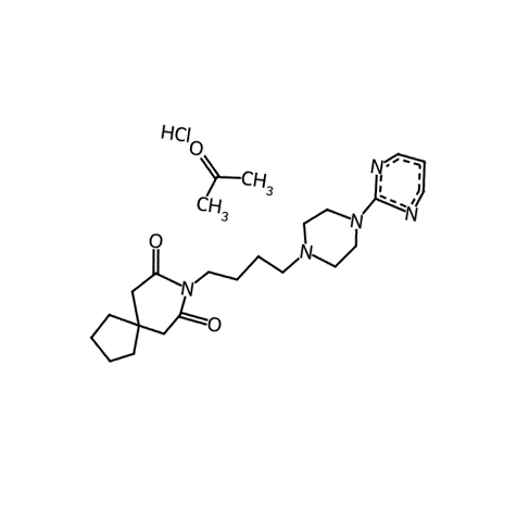 CC(C)=O.Cl.O=C1CC2(CCCC2)CC(=O)N1CCCCN1CCN(c2ncccn2)CC1